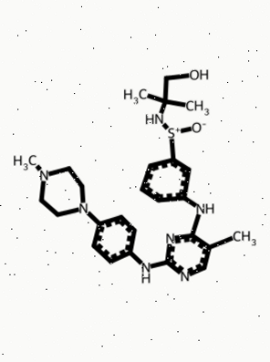 Cc1cnc(Nc2ccc(N3CCN(C)CC3)cc2)nc1Nc1cccc([S+]([O-])NC(C)(C)CO)c1